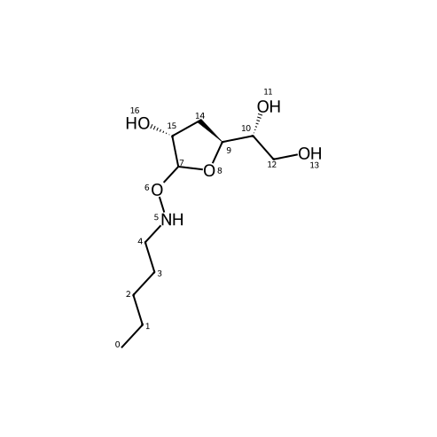 CCCCCNOC1O[C@H]([C@H](O)CO)C[C@H]1O